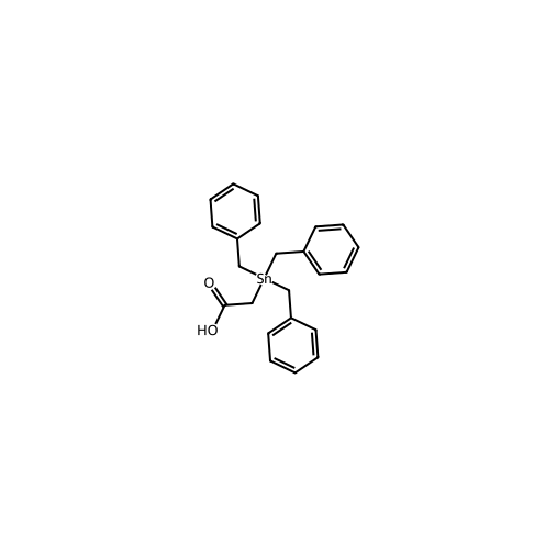 O=C(O)[CH2][Sn]([CH2]c1ccccc1)([CH2]c1ccccc1)[CH2]c1ccccc1